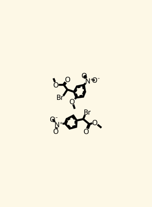 COC(=O)C(Br)c1cc([N+](=O)[O-])ccc1OC.COC(=O)C(Br)c1ccc([N+](=O)[O-])cc1